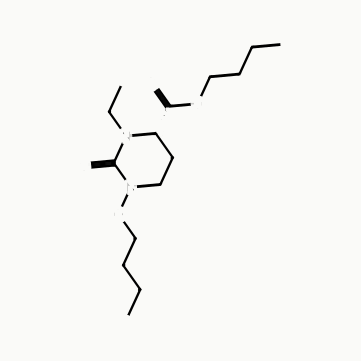 CCCCOC(=O)[C@@H]1CCN(OCCCC)C(=O)N1CC